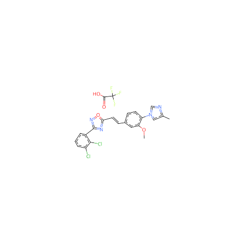 COc1cc(C=Cc2nc(-c3cccc(Cl)c3Cl)no2)ccc1-n1cnc(C)c1.O=C(O)C(F)(F)F